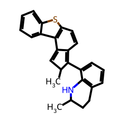 CC1CCc2cccc(C3=c4ccc5sc6ccccc6c5c4=CC3C)c2N1